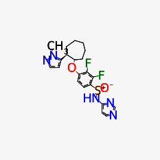 Cn1nccc1[C@H]1CCCCC[C@@H]1Oc1ccc([S+]([O-])Nc2ccncn2)c(F)c1F